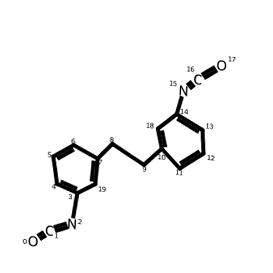 O=C=Nc1cccc(CCc2cccc(N=C=O)c2)c1